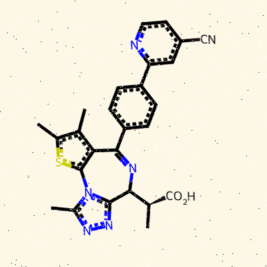 Cc1sc2c(c1C)C(c1ccc(-c3cc(C#N)ccn3)cc1)=NC([C@H](C)C(=O)O)c1nnc(C)n1-2